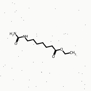 CCOC(=O)CCCCCCNC(N)=O